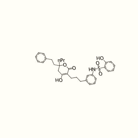 CCCC1(CCc2ccccc2)CC(O)=C(CCCc2cccc(NS(=O)(=O)c3ccccc3O)c2)C(=O)O1